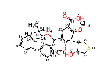 COc1c(CO[Si](c2ccccc2)(c2ccccc2)C(C)(C)C)cc(C(=O)O)c(OC)c1C1CSCC1O